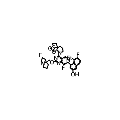 CCc1c(F)ccc2cc(O)cc(-c3ncc4c(N5CCCC6(CCS6(=O)=O)C5)nc(OC[C@@]56CCCN5C[C@H](F)C6)nc4c3F)c12